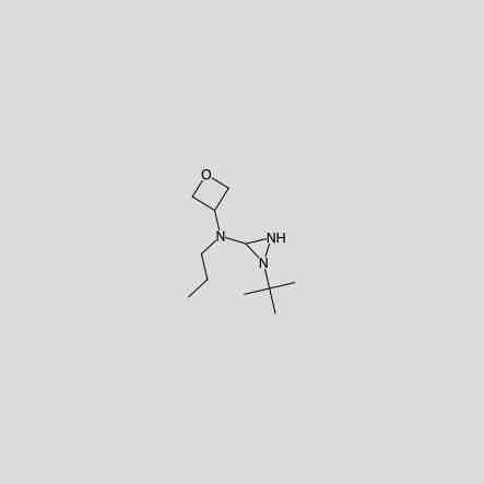 CCCN(C1COC1)C1NN1C(C)(C)C